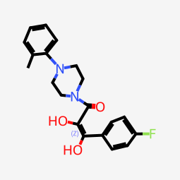 Cc1ccccc1N1CCN(C(=O)/C(O)=C(/O)c2ccc(F)cc2)CC1